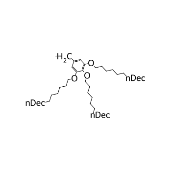 [CH2]c1cc(OCCCCCCCCCCCCCCCC)c(OCCCCCCCCCCCCCCCC)c(OCCCCCCCCCCCCCCCC)c1